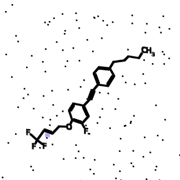 CCCCCc1ccc(C#Cc2ccc(OC/C=C/C(F)(F)F)c(F)c2)cc1